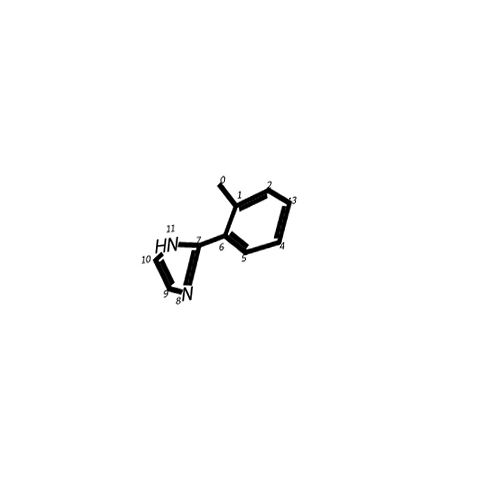 Cc1c[c]ccc1-c1ncc[nH]1